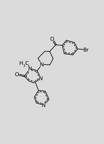 Cn1c(N2CCC(C(=O)c3ccc(Br)cc3)CC2)nc(-c2ccncc2)cc1=O